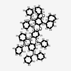 c1ccc(N(c2ccccc2)c2cc3c4c(c2)N(c2ccccc2)c2cc5c(cc2B4c2ccccc2N3c2ccccc2)B2c3ccccc3N(c3ccccc3)c3c2c(c(-c2cccc4ccccc24)c2oc4ccccc4c32)O5)cc1